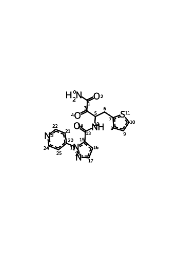 NC(=O)C(=O)C(Cc1cccs1)NC(=O)c1ccnn1-c1ccncc1